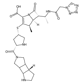 C[C@@H](NC(=O)Cn1cnnn1)[C@H]1C(=O)N2C(C(=O)O)=C(S[C@@H]3CN[C@H](C(=O)N4CC5C(C4)[C@@H]4CCNC54)C3)[C@H](C)[C@H]12